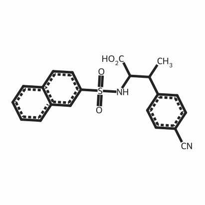 CC(c1ccc(C#N)cc1)C(NS(=O)(=O)c1ccc2ccccc2c1)C(=O)O